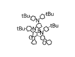 CC(C)(C)c1ccc(N2B3c4ccc(N(c5ccc(C(C)(C)C)cc5)c5ccc(C(C)(C)C)cc5)cc4-n4c5ccc(C(C)(C)C)cc5c5c6oc7ccccc7c6c(c3c54)-c3cc4oc5ccccc5c4cc32)cc1